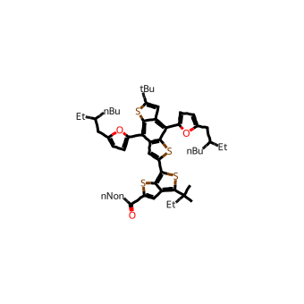 CCCCCCCCCC(=O)c1cc2c(C(C)(C)CC)sc(-c3cc4c(-c5ccc(CC(CC)CCCC)o5)c5sc(C(C)(C)C)cc5c(-c5ccc(CC(CC)CCCC)o5)c4s3)c2s1